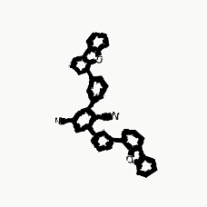 N#Cc1cc(-c2cccc(-c3cccc4c3oc3ccccc34)c2)c(C#N)c(-c2cccc(-c3cccc4c3oc3ccccc34)c2)c1